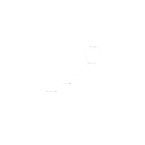 C=CCOC(=O)C#Cc1ccccc1